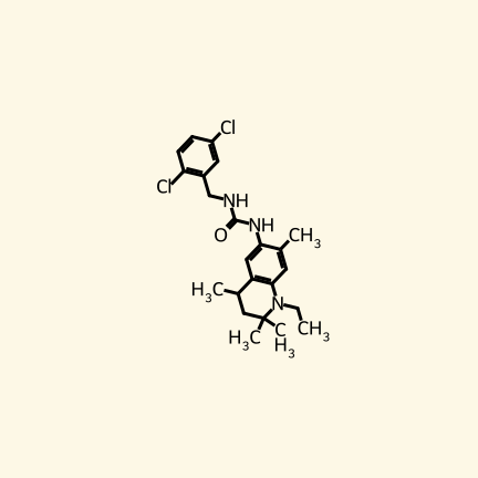 CCN1c2cc(C)c(NC(=O)NCc3cc(Cl)ccc3Cl)cc2C(C)CC1(C)C